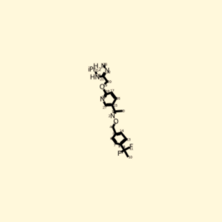 C/C(=N\OCc1ccc(C(C)(F)F)cc1)c1ccc(OC/C(=N/N)NC(C)C)nc1